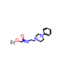 [CH2]COCC(=O)NCCN1CCN(c2ccccc2)CC1